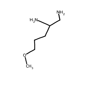 COCCCC(N)CN